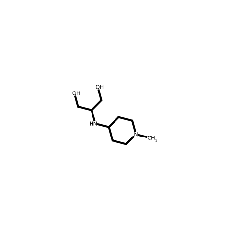 CN1CCC(NC(CO)CO)CC1